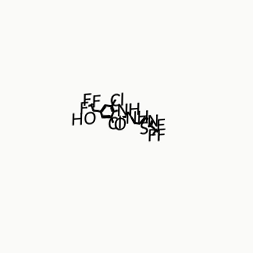 O=C(NCc1cnc(C(F)(F)F)s1)Nc1c(Cl)cc(C(O)C(F)(F)F)cc1Cl